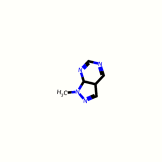 CN1N=CC2C=NC=NC21